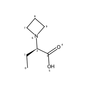 CC[C@H](C(=O)O)N1CCC1